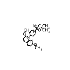 C.COc1ccc2ccc(=O)n(C3CCN(C(=O)OC(C)(C)C)CC3)c2n1